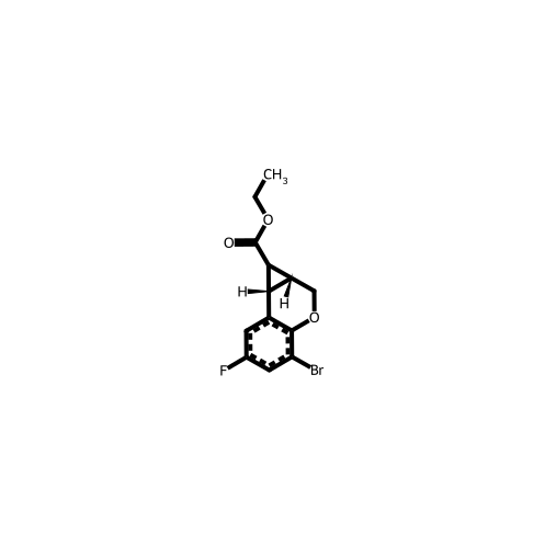 CCOC(=O)C1[C@H]2c3cc(F)cc(Br)c3OC[C@@H]12